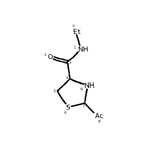 CCNC(=O)C1CSC(C(C)=O)N1